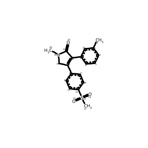 Cc1cccc(C2=C(c3ccc(S(C)(=O)=O)cc3)CN(C)C2=O)c1